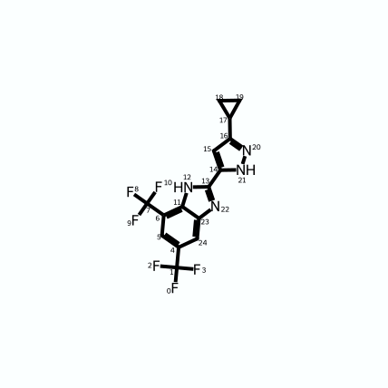 FC(F)(F)c1cc(C(F)(F)F)c2[nH]c(-c3cc(C4CC4)n[nH]3)nc2c1